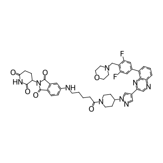 O=C1CCC(N2C(=O)c3ccc(NCCCCC(=O)N4CCC(n5cc(-c6cnc7cccc(-c8cc(F)c(CN9CCOCC9)c(F)c8)c7n6)cn5)CC4)cc3C2=O)C(=O)N1